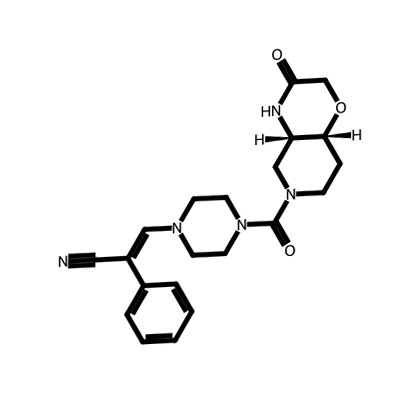 N#C/C(=C/N1CCN(C(=O)N2CC[C@H]3OCC(=O)N[C@H]3C2)CC1)c1ccccc1